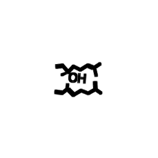 C=C/C(C)=C/CCC(=C)C.C=C[C@@](C)(O)CCC=C(C)C